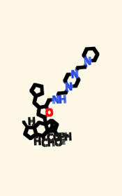 CC(C)C1=CC2CC3(C=O)[C@@H]4CC[C@@H](C)[C@H]4CC2(C2CC(CC4CCCC4)C(CNCCN4CCN(CCN5CCCCC5)CC4)O2)[C@]13C(=O)O